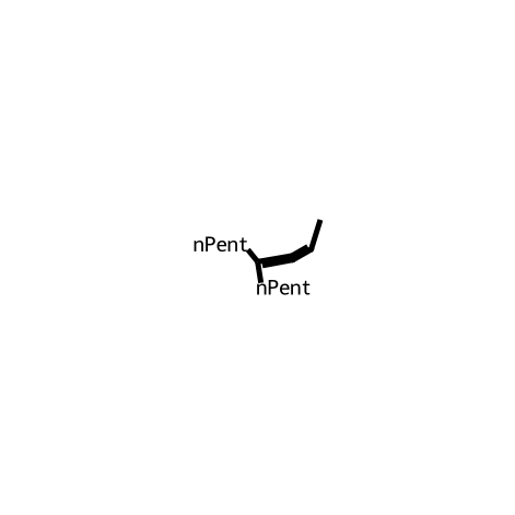 CC=C=C(CCCCC)CCCCC